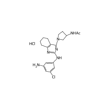 CC(=O)NC1CCN(c2nc(Nc3cc(N)cc(Cl)c3)nc3c2CCCC3)C1.Cl